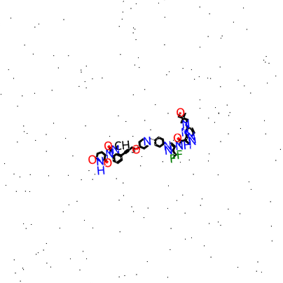 Cn1c(=O)n(C2CCC(=O)NC2=O)c2cccc(C#CCOC3CCN(C[C@H]4CC[C@H](n5cc(NC(=O)c6cnn7ccc(N8CC9(COC9)C8)nc67)c(C(F)F)n5)CC4)CC3)c21